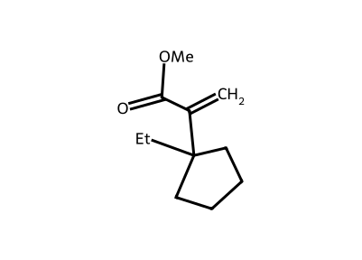 C=C(C(=O)OC)C1(CC)CCCC1